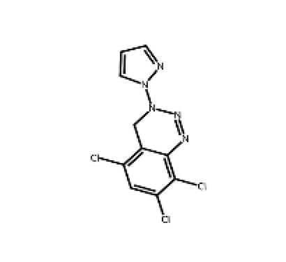 Clc1cc(Cl)c2c(c1Cl)N=NN(n1cccn1)C2